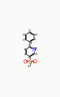 CS(=O)(=O)c1ccc(-c2cc[c]cc2)nc1